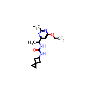 Cc1nc(OCC(F)(F)F)cc(C(C)NC(=O)NC2CC3(CC3)C2)n1